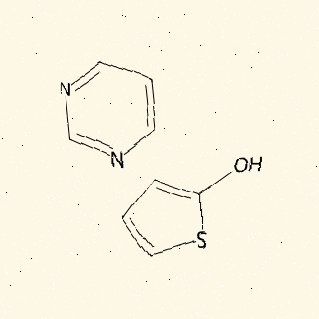 Oc1cccs1.c1cncnc1